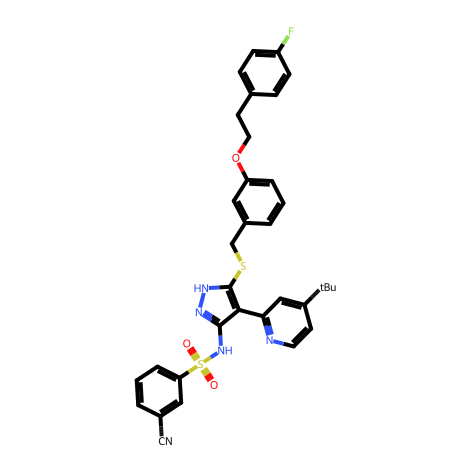 CC(C)(C)c1ccnc(-c2c(NS(=O)(=O)c3cccc(C#N)c3)n[nH]c2SCc2cccc(OCCc3ccc(F)cc3)c2)c1